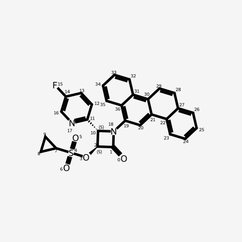 O=C1[C@@H](OS(=O)(=O)C2CC2)[C@H](c2ccc(F)cn2)N1c1cc2c3ccccc3ccc2c2ccccc12